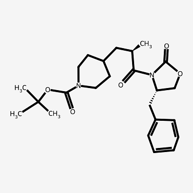 C[C@H](CC1CCN(C(=O)OC(C)(C)C)CC1)C(=O)N1C(=O)OC[C@@H]1Cc1ccccc1